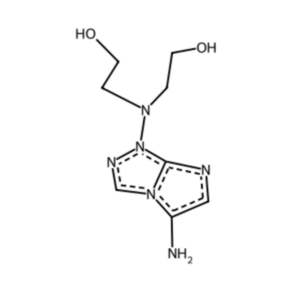 Nc1cnc2n(N(CCO)CCO)ncn12